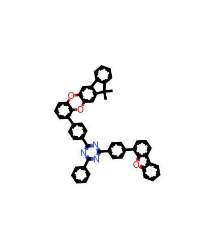 CC1(C)c2ccccc2-c2cc3c(cc21)Oc1c(cccc1-c1ccc(-c2nc(-c4ccccc4)nc(-c4ccc(-c5cccc6c5oc5ccccc56)cc4)n2)cc1)O3